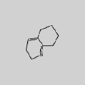 C1=C2CCCCC2=NCC1